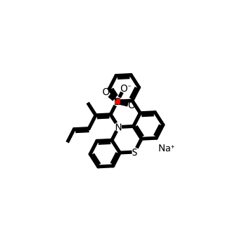 CC=CC(C)=C(N1c2ccccc2Sc2cccc(-c3ccccn3)c21)S(=O)(=O)[O-].[Na+]